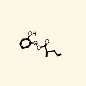 C=CCC(=C)C(=O)OOc1ccccc1O